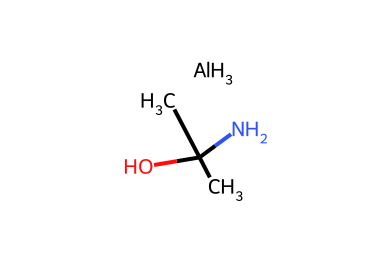 CC(C)(N)O.[AlH3]